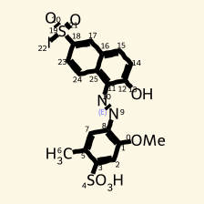 COc1cc(S(=O)(=O)O)c(C)cc1/N=N/c1c(O)ccc2cc(S(=O)(=O)I)ccc12